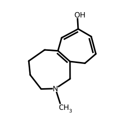 CN1CCCCC2=C(CC=CC(O)=C2)C1